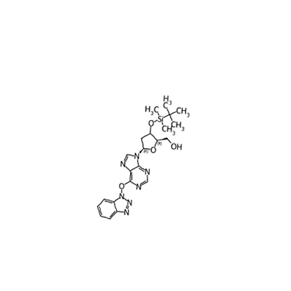 CC(C)(C)[Si](C)(C)OC1C[C@H](n2cnc3c(On4nnc5ccccc54)ncnc32)O[C@@H]1CO